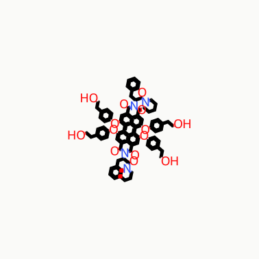 O=C(C(Cc1ccccc1)N1C(=O)c2cc(Oc3ccc(CCO)cc3)c3c4c(Oc5ccc(CCO)cc5)cc5c6c(cc(Oc7ccc(CCO)cc7)c(c7c(Oc8ccc(CCO)cc8)cc(c2c37)C1=O)c64)C(=O)N(C(Cc1ccccc1)C(=O)N1CCCCC1)C5=O)N1CCCCC1